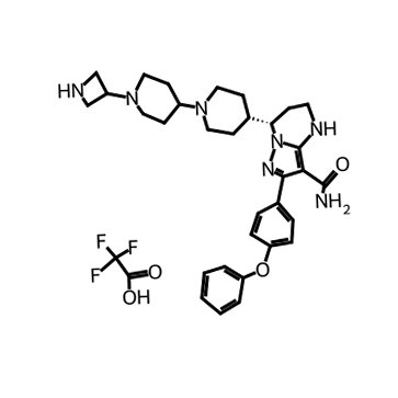 NC(=O)c1c(-c2ccc(Oc3ccccc3)cc2)nn2c1NCC[C@H]2C1CCN(C2CCN(C3CNC3)CC2)CC1.O=C(O)C(F)(F)F